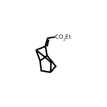 CCOC(=O)C=C1C2CC3CC1C2C3